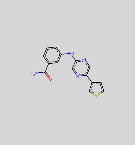 NC(=O)c1cccc(Nc2cnc(-c3ccsc3)cn2)c1